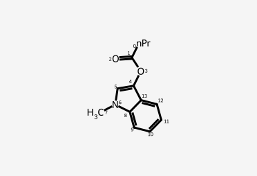 CCCC(=O)Oc1cn(C)c2ccccc12